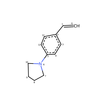 [CH]=Cc1ccc(N2CCCC2)cc1